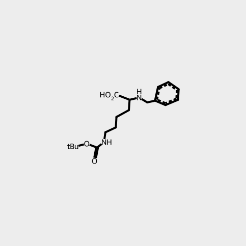 CC(C)(C)OC(=O)NCCCCC(NCc1ccccc1)C(=O)O